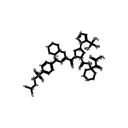 CC(C)(O)c1cnnn1[C@H]1C[C@@H](C(=O)NC2(C(=O)C(N)=O)CCSCC2)N(C(=O)/C(CC2CCCCC2)=N/C(=O)c2ccc(S(=O)(=O)NCC(F)F)cc2)C1